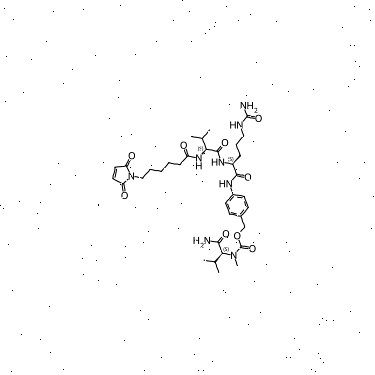 CC(C)[C@H](NC(=O)CCCCCN1C(=O)C=CC1=O)C(=O)N[C@@H](CCCNC(N)=O)C(=O)Nc1ccc(COC(=O)N(C)[C@H](C(N)=O)C(C)C)cc1